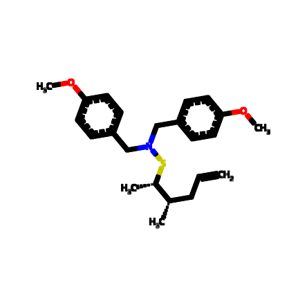 C=CC[C@H](C)[C@H](C)SN(Cc1ccc(OC)cc1)Cc1ccc(OC)cc1